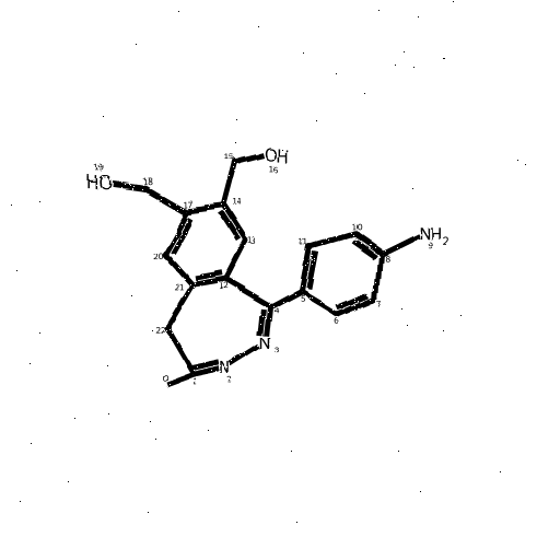 CC1=NN=C(c2ccc(N)cc2)c2cc(CO)c(CO)cc2C1